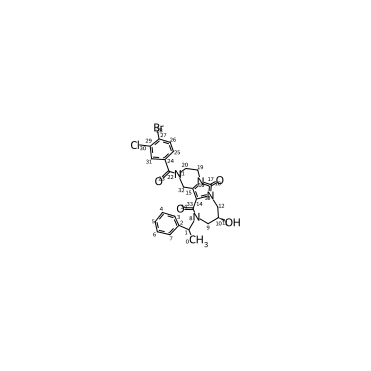 CC(c1ccccc1)N1C[C@H](O)Cn2c(c3n(c2=O)CCN(C(=O)c2ccc(Br)c(Cl)c2)C3)C1=O